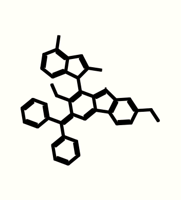 CCc1ccc2c(c1)[C]=c1c-2cc(=C(c2ccccc2)c2ccccc2)c(CC)c1C1C(C)=Cc2c(C)cccc21